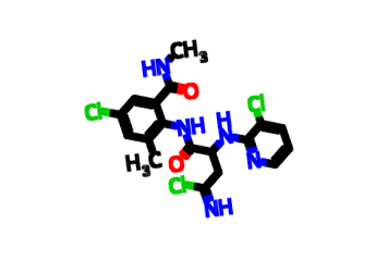 CNC(=O)c1cc(Cl)cc(C)c1NC(=O)C(CC(=N)Cl)Nc1ncccc1Cl